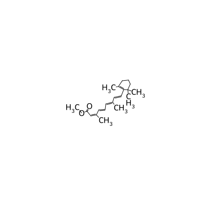 COC(=O)\C=C(C)/C=C/C=C(C)/C=C/C1=C(C)CCCC1(C)C